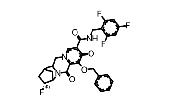 O=C(NCc1c(F)cc(F)cc1F)c1cn2c(c(OCc3ccccc3)c1=O)C(=O)N1C(C2)C2CC1[C@H](F)C2